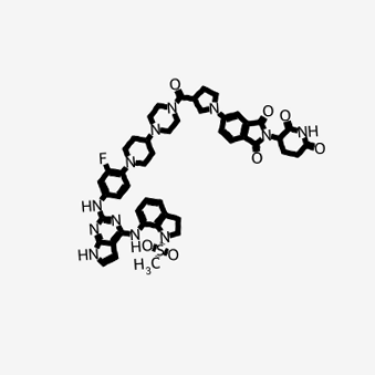 CS(=O)(=O)N1CCc2cccc(Nc3nc(Nc4ccc(N5CCC(N6CCN(C(=O)C7CCN(c8ccc9c(c8)C(=O)N(C8CCC(=O)NC8=O)C9=O)C7)CC6)CC5)c(F)c4)nc4[nH]ccc34)c21